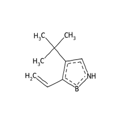 C=Cc1b[nH]cc1C(C)(C)C